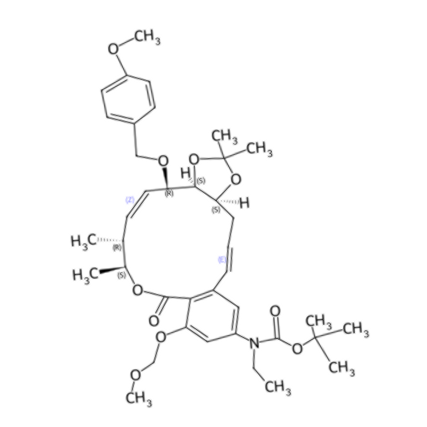 CCN(C(=O)OC(C)(C)C)c1cc2c(c(OCOC)c1)C(=O)O[C@@H](C)[C@H](C)/C=C\[C@@H](OCc1ccc(OC)cc1)[C@H]1OC(C)(C)O[C@H]1C/C=C/2